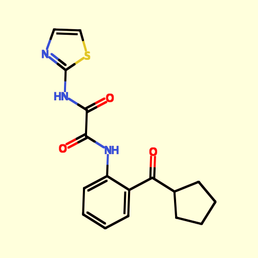 O=C(Nc1nccs1)C(=O)Nc1ccccc1C(=O)C1CCCC1